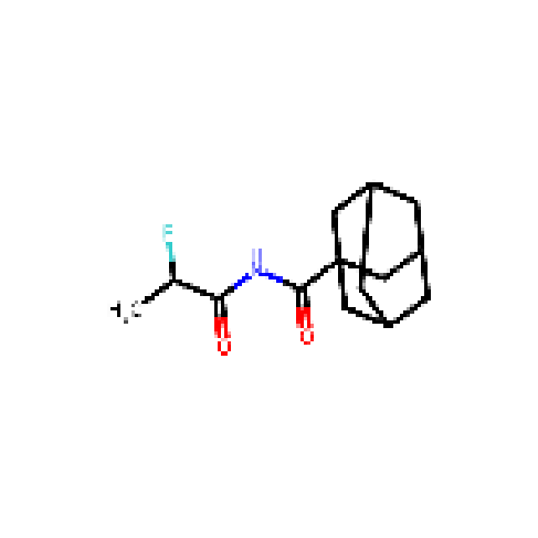 CC(F)C(=O)NC(=O)C12CC3CC(CC(C3)C1)C2